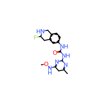 CONC1=NC(NC(=O)Nc2ccc3c(c2)CC(F)NC3)N=C(C)C1